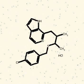 CC(Cc1nccc2cc[nH]c12)C(C)SCc1ccc(Cl)cc1.Cl